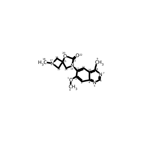 COc1cc2ncnc(C)c2cc1N1CC2(CN(C)C2)OC1=O